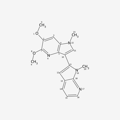 COc1cc2c(nc1OC)c(-c1cc3cccnc3n1C)cn2C